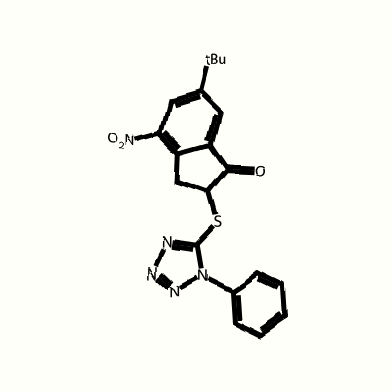 CC(C)(C)c1cc2c(c([N+](=O)[O-])c1)CC(Sc1nnnn1-c1ccccc1)C2=O